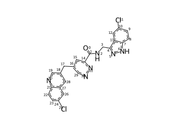 O=C(NCc1n[nH]c2ccc(Cl)cc12)c1cc(Cc2cnc3ccc(Cl)cc3c2)cnn1